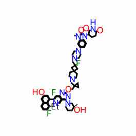 CCc1c(F)ccc2cc(O)cc(-c3ncc4c(N5CCC[C@@](C)(O)C5)nc(OCC5(CN6CCC7(CC6)CC(F)(CN6CCN(c8ccc9c(c8)n(C)c(=O)n9C8CCC(=O)NC8=O)CC6)C7)CC5)nc4c3F)c12